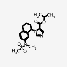 CC(C)OC(=O)c1cncn1C1CCCc2ccc(N(C)S(C)(=O)=O)cc21